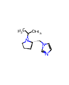 CC(C)N1CCC[C@H]1Cn1ccnc1